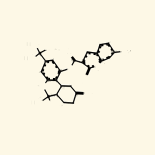 CCCCCCC(C)(C)c1cc(OC(=O)c2cc3ccc(OC)cc3oc2=O)c2c(c1)OC(C)(C)C1CCC(=O)CC21